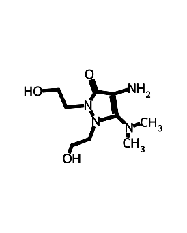 CN(C)c1c(N)c(=O)n(CCO)n1CCO